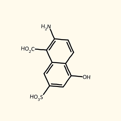 Nc1ccc2c(O)cc(S(=O)(=O)O)cc2c1C(=O)O